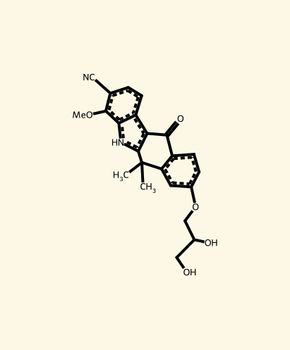 COc1c(C#N)ccc2c3c([nH]c12)C(C)(C)c1cc(OCC(O)CO)ccc1C3=O